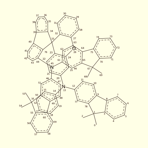 CC1(C)c2ccccc2-c2ccc(N(c3ccccc3)c3ccc4c(c3)Oc3ccccc3C43c4ccccc4-c4cccc(N(c5ccc6c(c5)C(C)(C)c5ccccc5-6)c5ccc6c(c5)C(C)(C)c5ccccc5-6)c43)cc21